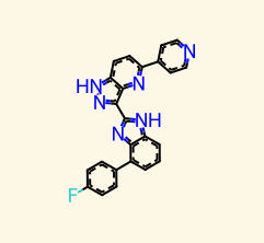 Fc1ccc(-c2cccc3[nH]c(-c4n[nH]c5ccc(-c6ccncc6)nc45)nc23)cc1